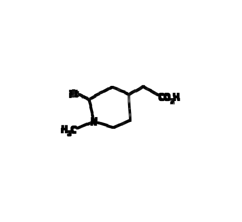 CCC1CC(CC(=O)O)CCN1C